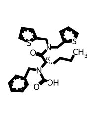 CCCC[C@@H](C(=O)N(Cc1cccs1)Cc1cccs1)N(Cc1ccccc1)C(=O)O